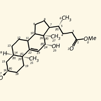 COC(=O)CC[C@@H](C)C1CCC2C3CC[C@@H]4C[C@H](O)CC[C@]4(C)C3=C[C@@H](O)[C@@]21C